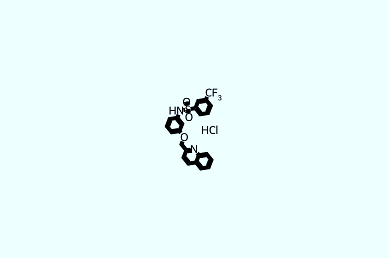 Cl.O=S(=O)(Nc1cccc(OCc2ccc3ccccc3n2)c1)c1cccc(C(F)(F)F)c1